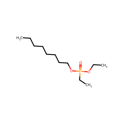 CCCCCCCCOP(=O)(CC)OCC